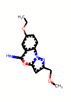 CCOc1ccc2c(c1)c(=N)oc1cc(COC)nn12